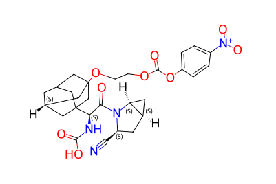 N#C[C@@H]1C[C@@H]2C[C@@H]2N1C(=O)[C@@H](NC(=O)O)C12CC3C[C@H](CC(OCCOC(=O)Oc4ccc([N+](=O)[O-])cc4)(C3)C1)C2